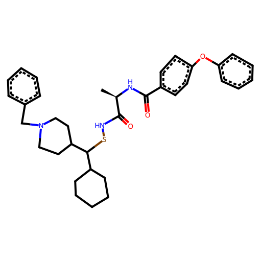 C[C@@H](NC(=O)c1ccc(Oc2ccccc2)cc1)C(=O)NSC(C1CCCCC1)C1CCN(Cc2ccccc2)CC1